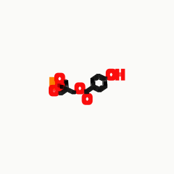 O=C(OCC12COP(OC1)OC2)c1ccc(O)cc1